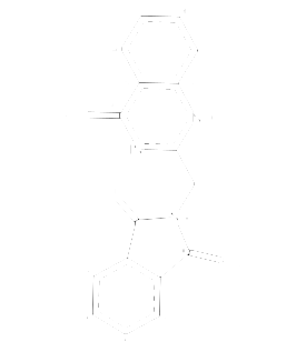 O=C1c2ccccc2C(=O)N1Cc1nc2ccccc2c(=O)[nH]1